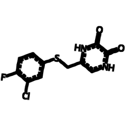 O=c1[nH]cc(CSc2ccc(F)c(Cl)c2)[nH]c1=O